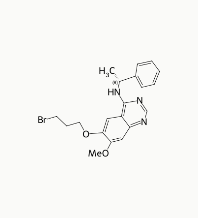 COc1cc2ncnc(N[C@H](C)c3ccccc3)c2cc1OCCCBr